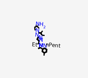 C=C(c1cc(C)ccc1NCCCCC)N(C)C(CC)c1cc2nc(N3CC[C@H](N)C3)c(C)c(C)n2n1